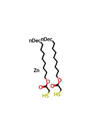 CCCCCCCCCCCCCCCCCCOC(=O)CS.CCCCCCCCCCCCCCCCCCOC(=O)CS.[Zn]